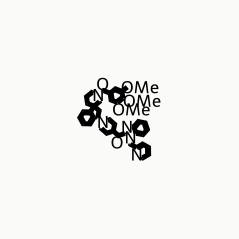 COc1cc(C(=O)N2CCCC(CCN3CCC(C(=O)c4nc5ccccc5n4Cc4ccccn4)CC3)(c3ccccc3)C2)cc(OC)c1OC